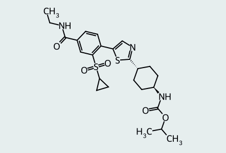 CCNC(=O)c1ccc(-c2cnc([C@H]3CC[C@H](NC(=O)OC(C)C)CC3)s2)c(S(=O)(=O)C2CC2)c1